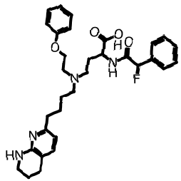 O=C(O)C(CCN(CCCCc1ccc2c(n1)NCCC2)CCOc1ccccc1)NC(=O)C(F)c1ccccc1